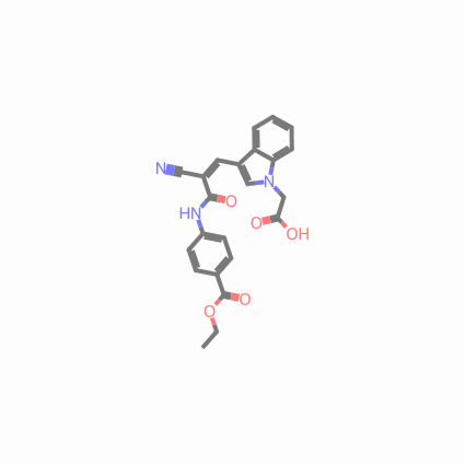 CCOC(=O)c1ccc(NC(=O)C(C#N)=Cc2cn(CC(=O)O)c3ccccc23)cc1